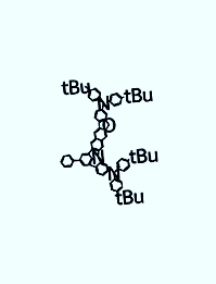 CC(C)(C)c1ccc(N(c2ccc(C(C)(C)C)cc2)c2ccc3c(c2)oc2cc4cc5c(cc4cc23)c2cc(-c3ccccc3)cc3c4ccc(N(c6ccc(C(C)(C)C)cc6)c6ccc(C(C)(C)C)cc6)cc4n5c32)cc1